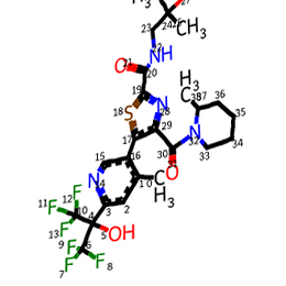 Cc1cc(C(O)(C(F)(F)F)C(F)(F)F)ncc1-c1sc(C(=O)NCC(C)(C)O)nc1C(=O)N1CCCCC1C